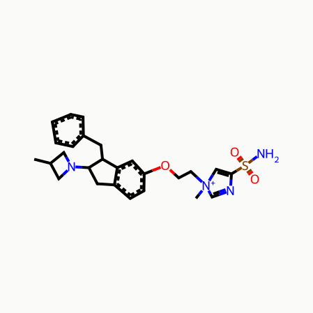 CC1CN(C2Cc3ccc(OCC[N+]4(C)C=NC(S(N)(=O)=O)=C4)cc3C2Cc2ccccc2)C1